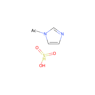 CC(=O)n1ccnc1.O=[SH](=O)O